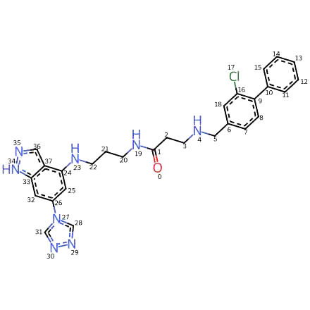 O=C(CCNCc1ccc(-c2ccccc2)c(Cl)c1)NCCCNc1cc(-n2cnnc2)cc2[nH]ncc12